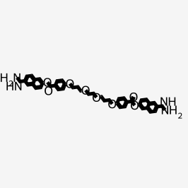 N=C(N)c1ccc2cc(OC(=O)c3ccc(OCCCOCCOCCCOc4ccc(C(=O)Oc5ccc6cc(C(=N)N)ccc6c5)cc4)cc3)ccc2c1